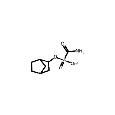 NC(=O)P(=O)(O)OC1CC2CCC1C2